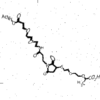 CC(=O)NOC(=O)CCOCCOCCNC(=O)CCN1C(=O)CC(SCCOCCOC(C)C(=O)O)C1=O